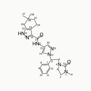 CN1CCN(CC(c2ccccc2)n2cc(NC(=O)c3n[nH]c4c3CCC(C)(C)C4)cn2)C1=O